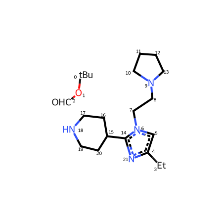 CC(C)(C)OC=O.CCc1cn(CCN2CCCC2)c(C2CCNCC2)n1